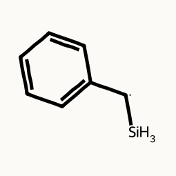 [SiH3][CH]c1ccccc1